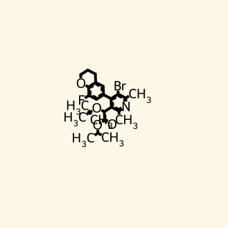 Cc1nc(C)c(C(OC(C)(C)C)C(=O)OC(C)C)c(-c2cc(F)c3c(c2)CCCO3)c1Br